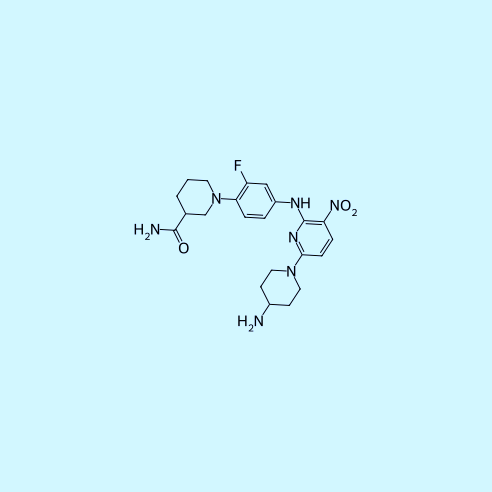 NC(=O)C1CCCN(c2ccc(Nc3nc(N4CCC(N)CC4)ccc3[N+](=O)[O-])cc2F)C1